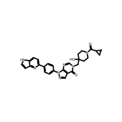 O=C(C1CC1)N1CCC(O)(Cn2cnc3c(cnn3-c3ccc(-c4ccc5[nH]ccc5n4)cc3)c2=O)CC1